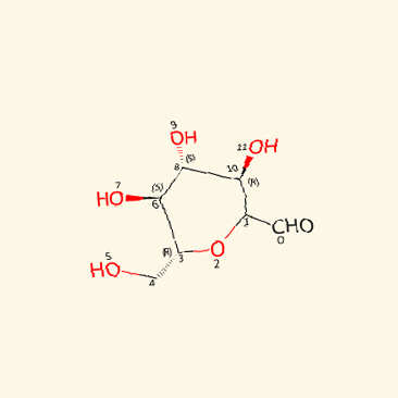 O=CC1O[C@H](CO)[C@@H](O)[C@H](O)[C@H]1O